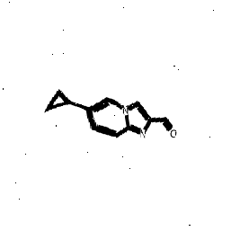 O=Cc1cn2cc(C3CC3)ccc2n1